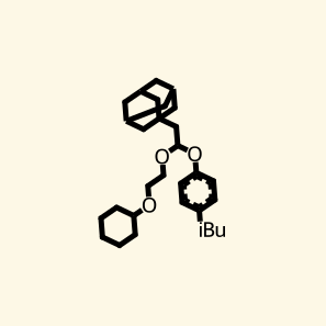 CCC(C)c1ccc(OC(CC23CC4CC(CC(C4)C2)C3)OCCOC2CCCCC2)cc1